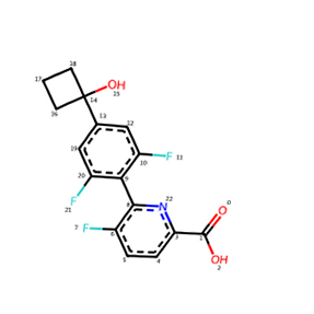 O=C(O)c1ccc(F)c(-c2c(F)cc(C3(O)CCC3)cc2F)n1